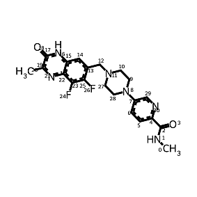 CNC(=O)c1ccc(N2CCN(Cc3cc4[nH]c(=O)c(C)nc4c(F)c3F)CC2)cn1